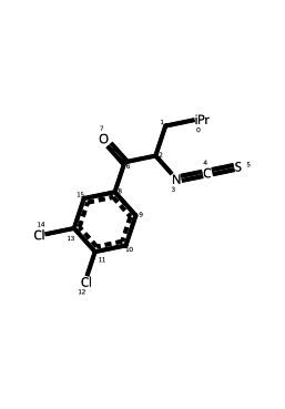 CC(C)CC(N=C=S)C(=O)c1ccc(Cl)c(Cl)c1